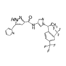 CC(c1ccc(C(F)(F)F)cc1C(F)(F)F)n1cc(NC(=O)c2cc(-c3ccccn3)[nH]n2)cn1